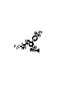 CC(C)S(=O)(=O)N1CCN(c2cc(S(=O)(=O)NC3CC3)cn3c(-c4nnc(C(F)(F)F)s4)ncc23)CC1